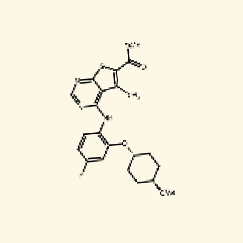 COC(=O)c1sc2ncnc(Nc3ccc(F)cc3O[C@H]3CC[C@H](OC)CC3)c2c1C